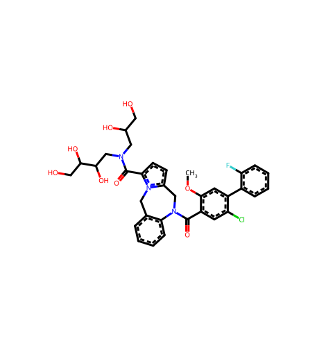 COc1cc(-c2ccccc2F)c(Cl)cc1C(=O)N1Cc2ccc(C(=O)N(CC(O)CO)CC(O)C(O)CO)n2Cc2ccccc21